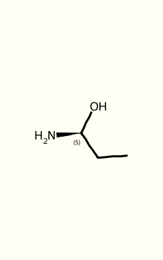 CC[C@@H](N)O